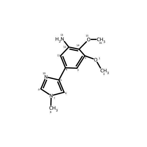 COc1cc(-c2cn(C)cn2)cc(N)c1OC